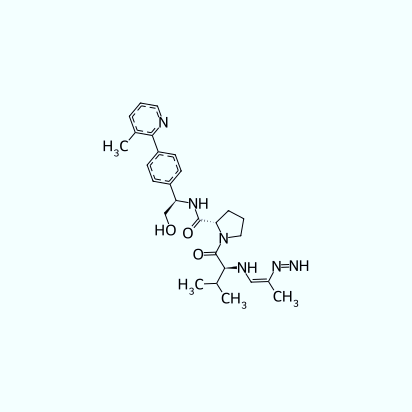 C/C(=C/N[C@H](C(=O)N1CCC[C@H]1C(=O)N[C@@H](CO)c1ccc(-c2ncccc2C)cc1)C(C)C)N=N